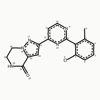 Cc1cccc(Cl)c1-c1nccc(-c2cc3n(n2)CCNC3=O)n1